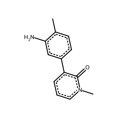 Cc1ccc(-c2cccn(C)c2=O)cc1N